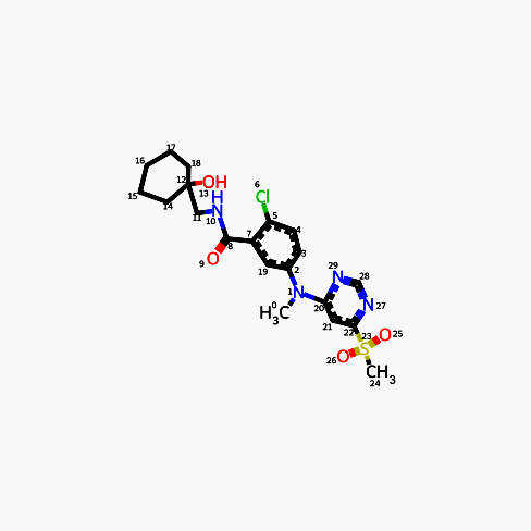 CN(c1ccc(Cl)c(C(=O)NCC2(O)CCCCC2)c1)c1cc(S(C)(=O)=O)ncn1